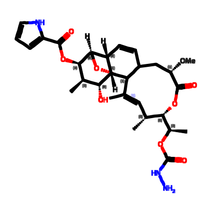 CO[C@H]1CC2C=C[C@H]3[C@H]4O[C@]2(/C(C)=C/[C@@H](C)[C@@H]([C@@H](C)OC(=O)NN)OC1=O)[C@@H]3[C@H](O)[C@@H](C)[C@H]4OC(=O)c1ccc[nH]1